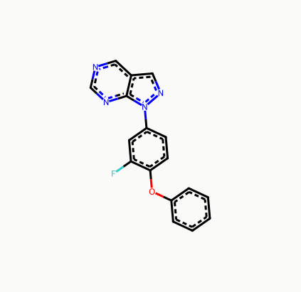 Fc1cc(-n2ncc3cncnc32)ccc1Oc1ccccc1